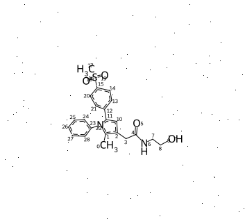 Cc1c(CC(=O)NCCO)cc(-c2ccc(S(C)(=O)=O)cc2)n1-c1ccccc1